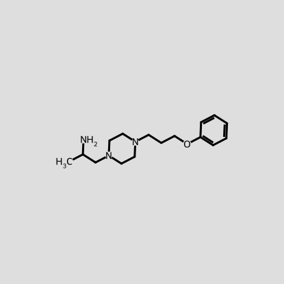 CC(N)CN1CCN(CCCOc2ccccc2)CC1